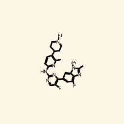 CCN1CCC(c2ccc(Nc3ncc(F)c(-c4cc(F)c5nc(C)n(C(C)C)c5c4)n3)nc2C)CC1